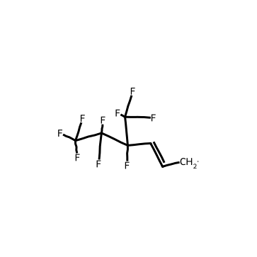 [CH2]C=CC(F)(C(F)(F)F)C(F)(F)C(F)(F)F